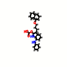 O=C(O)Oc1[nH]c2c(Nc3ccccc3)cccc2c1CCCOc1cccc2ccccc12